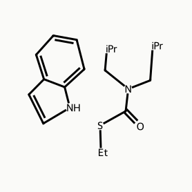 CCSC(=O)N(CC(C)C)CC(C)C.c1ccc2[nH]ccc2c1